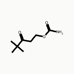 CC(C)(C)C(=O)CCOC(N)=O